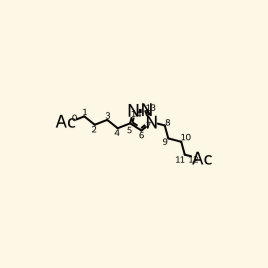 CC(=O)CCCCc1cn(CCCCC(C)=O)nn1